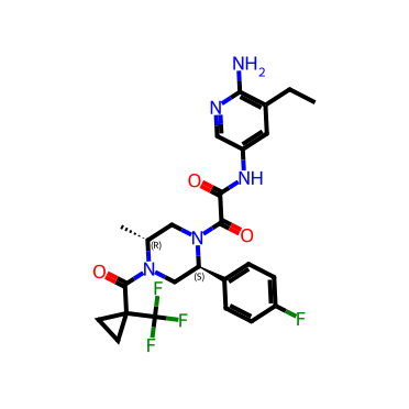 CCc1cc(NC(=O)C(=O)N2C[C@@H](C)N(C(=O)C3(C(F)(F)F)CC3)C[C@@H]2c2ccc(F)cc2)cnc1N